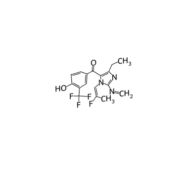 C=Nc1nc(CC)c(C(=O)c2ccc(O)c(C(F)(F)F)c2)n1/C=C(\C)F